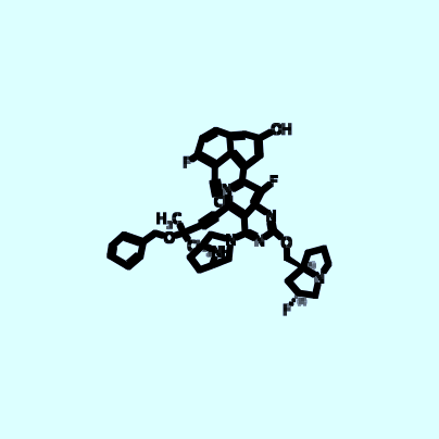 C#Cc1c(F)ccc2cc(O)cc(-c3nc(C#CC(C)(C)OCc4ccccc4)c4c(N5CC6CCC(C5)N6)nc(OC[C@@]56CCCN5C[C@H](F)C6)nc4c3F)c12